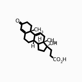 C[C@]12CCC(=O)C=C1CC[C@@H]1C2=CC[C@@]2(C)[C@H]1CC[C@]2(O)CCC(=O)O